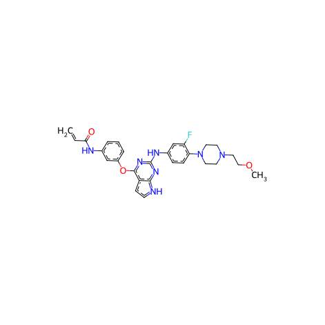 C=CC(=O)Nc1cccc(Oc2nc(Nc3ccc(N4CCN(CCOC)CC4)c(F)c3)nc3[nH]ccc23)c1